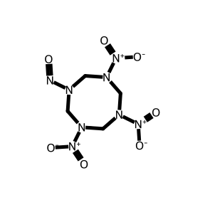 O=NN1CN([N+](=O)[O-])CN([N+](=O)[O-])CN([N+](=O)[O-])C1